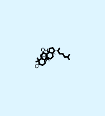 CC(C)CCCC(C)[C@H]1CC[C@H]2[C@@H]3C(=O)C=C4C(C)(C)C(=O)CC[C@]4(C)[C@H]3CC[C@]12C